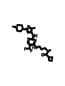 Cc1nn(C2CCN(C)CC2)cc1Nc1ncc(C(F)F)c(NCCCN(C)C(=O)C2CCC2)n1